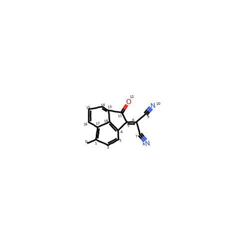 Cc1ccc2c(=C(C#N)C#N)c(=O)c3cccc1c32